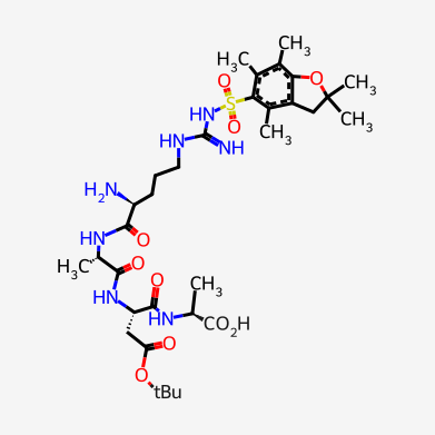 Cc1c(C)c(S(=O)(=O)NC(=N)NCCC[C@H](N)C(=O)N[C@@H](C)C(=O)N[C@@H](CC(=O)OC(C)(C)C)C(=O)N[C@@H](C)C(=O)O)c(C)c2c1OC(C)(C)C2